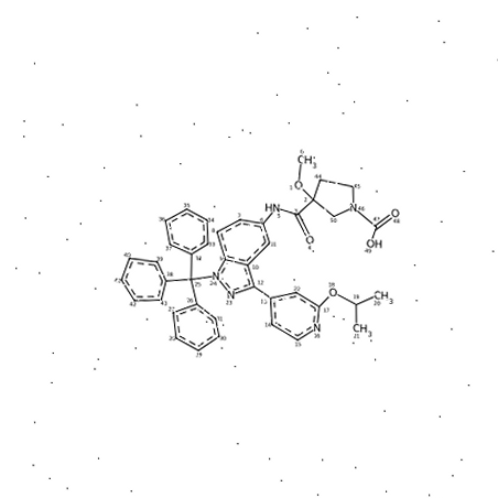 COC1(C(=O)Nc2ccc3c(c2)c(-c2ccnc(OC(C)C)c2)nn3C(c2ccccc2)(c2ccccc2)c2ccccc2)CCN(C(=O)O)C1